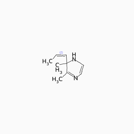 C/C=C\C1(C)NC=CN=C1C